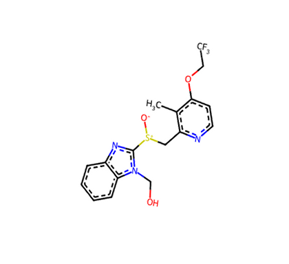 Cc1c(OCC(F)(F)F)ccnc1C[S+]([O-])c1nc2ccccc2n1CO